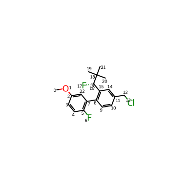 COc1ccc(F)c(-c2ccc(CCl)cc2[C@H](F)C(C)(C)C)c1